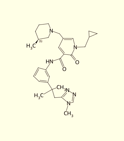 C[C@H]1CCCN(Cc2cc(C(=O)Nc3cccc(C(C)(C)Cc4nncn4C)c3)c(=O)n(CC3CC3)c2)C1